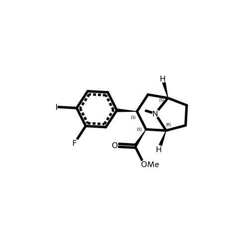 COC(=O)[C@H]1[C@@H](c2ccc(I)c(F)c2)C[C@@H]2CC[C@H]1N2C